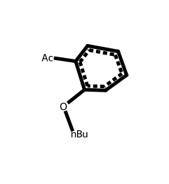 [CH2]C(=O)c1ccccc1OCCCC